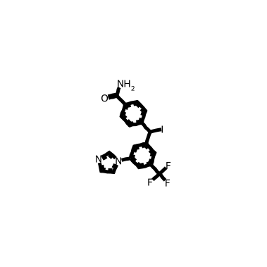 NC(=O)c1ccc(C(I)c2cc(-n3ccnc3)cc(C(F)(F)F)c2)cc1